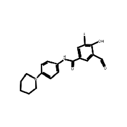 O=Cc1cc(C(=O)Nc2ccc(N3CCCCC3)cc2)cc(F)c1O